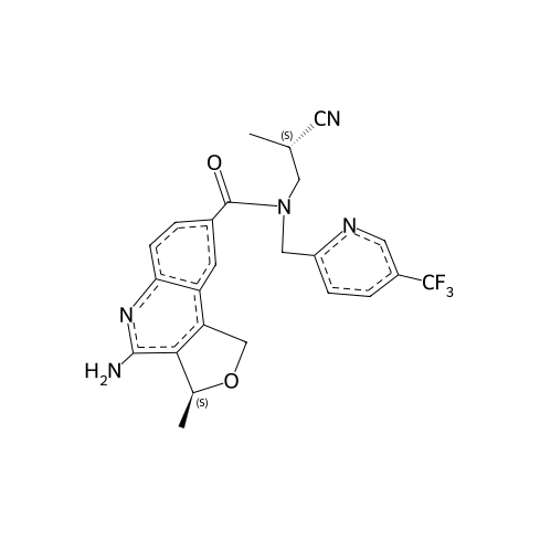 C[C@H](C#N)CN(Cc1ccc(C(F)(F)F)cn1)C(=O)c1ccc2nc(N)c3c(c2c1)CO[C@H]3C